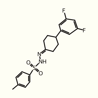 Cc1ccc(S(=O)(=O)NN=C2CCC(c3cc(F)cc(F)c3)CC2)cc1